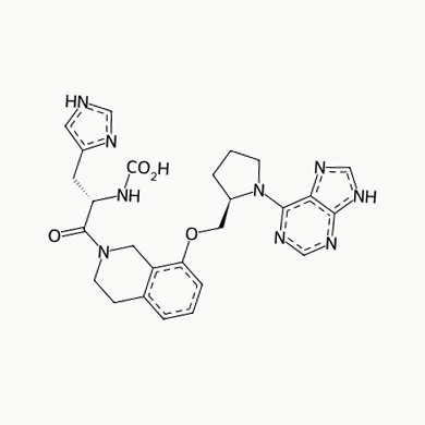 O=C(O)N[C@@H](Cc1c[nH]cn1)C(=O)N1CCc2cccc(OC[C@H]3CCCN3c3ncnc4[nH]cnc34)c2C1